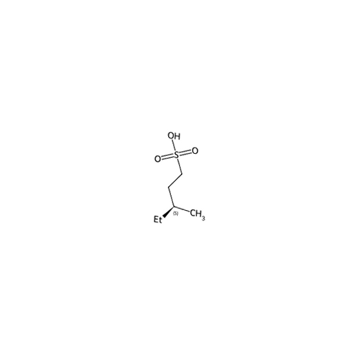 CC[C@H](C)CCS(=O)(=O)O